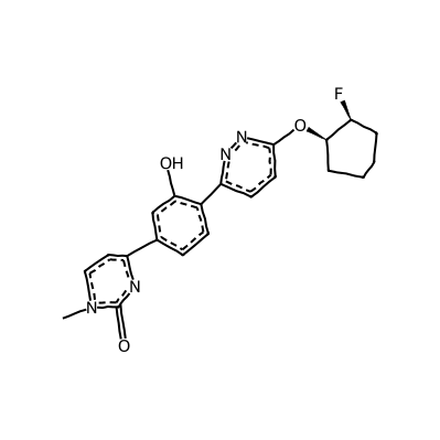 Cn1ccc(-c2ccc(-c3ccc(O[C@@H]4CCCC[C@@H]4F)nn3)c(O)c2)nc1=O